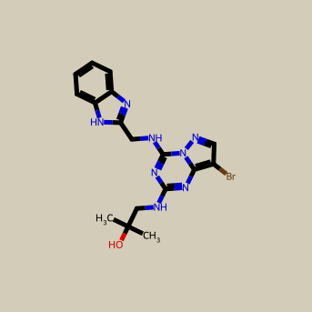 CC(C)(O)CNc1nc(NCc2nc3ccccc3[nH]2)n2ncc(Br)c2n1